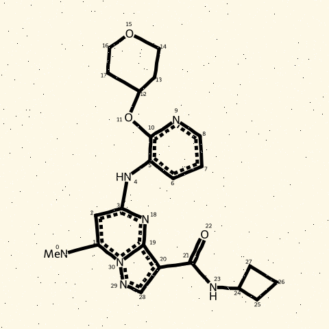 CNc1cc(Nc2cccnc2OC2CCOCC2)nc2c(C(=O)NC3CCC3)cnn12